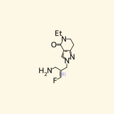 CCN1CCc2nn(C/C(=C/F)CN)cc2C1=O